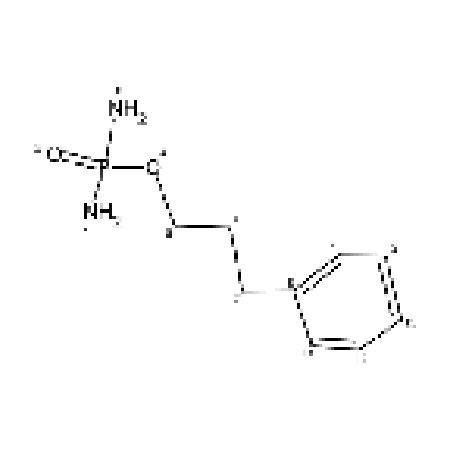 NP(N)(=O)OCCCc1ccccc1